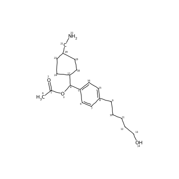 CC(=O)OC(c1ccc(CCCCCO)cc1)C1CCC(CN)CC1